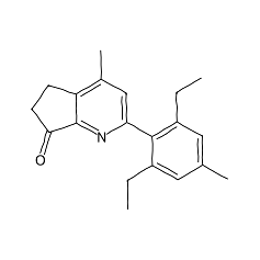 CCc1cc(C)cc(CC)c1-c1cc(C)c2c(n1)C(=O)CC2